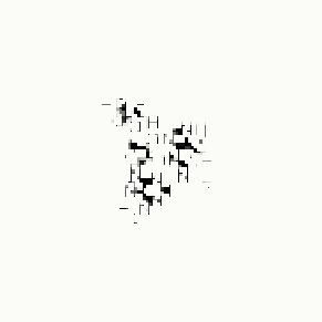 Nc1nc(F)nc2c1ncn2[C@@H]1O[C@H](COP(=O)(O)O)[C@@H](O)[C@@H]1O.Nc1nc2nc[nH]c2c(=S)[nH]1